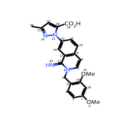 COc1ccc(Cn2ccc3ccc(-n4nc(C)cc4C(=O)O)cc3c2=N)c(OC)c1